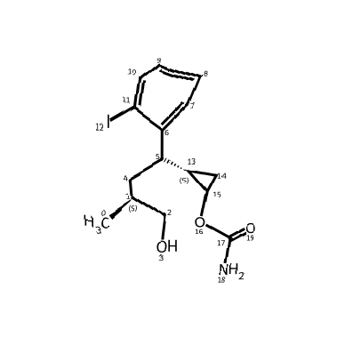 C[C@H](CO)CC(c1ccccc1I)[C@@H]1CC1OC(N)=O